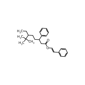 CCC(CCC(CC(=O)OC=Cc1ccccc1)c1ccccc1)C(C)(C)C